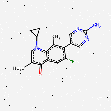 Cc1c(-c2cnc(N)nc2)c(F)cc2c(=O)c(C(=O)O)cn(C3CC3)c12